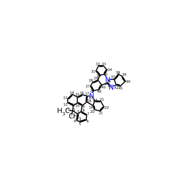 CC1(C)c2ccccc2-c2c3c1cccc3cc1c2c2ccccc2n1-c1ccc2c3ccccc3n3c4ccccc4nc3c2c1